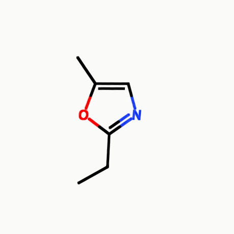 CCc1ncc(C)o1